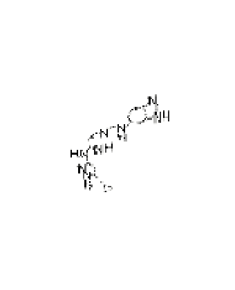 N=C(/C=C\N=C\Nc1ccc2nc[nH]c2c1)Nc1cc(C2CC2)[nH]n1